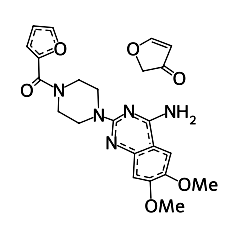 COc1cc2nc(N3CCN(C(=O)c4ccco4)CC3)nc(N)c2cc1OC.O=C1C=COC1